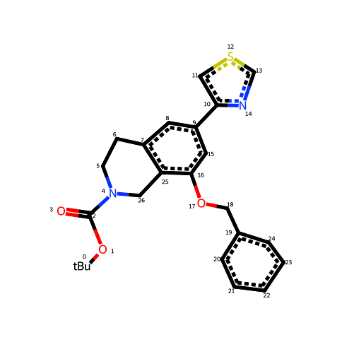 CC(C)(C)OC(=O)N1CCc2cc(-c3cscn3)cc(OCc3ccccc3)c2C1